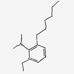 CCCCCCc1ccc[n+](CC)c1N(C)C